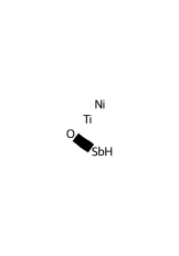 [Ni].[O]=[SbH].[Ti]